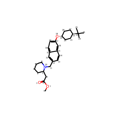 COC(=O)CC1CCCCN1Cc1ccc2cc(O[C@H]3CC[C@H](C(C)(C)C)CC3)ccc2c1